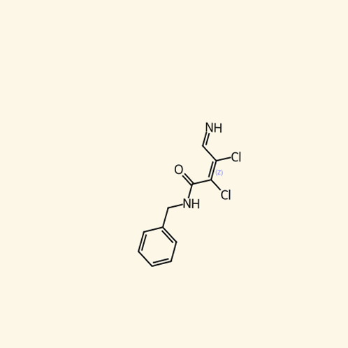 N=C/C(Cl)=C(/Cl)C(=O)NCc1ccccc1